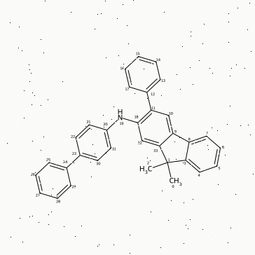 CC1(C)c2ccccc2-c2cc(-c3ccccc3)c(Nc3ccc(-c4ccccc4)cc3)cc21